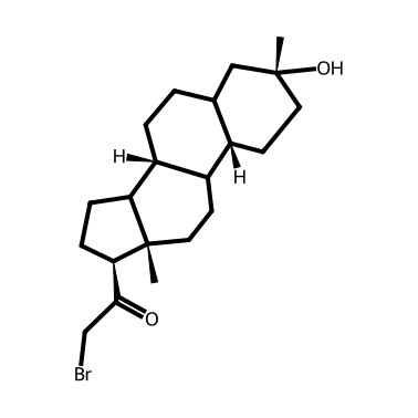 C[C@@]1(O)CC[C@H]2C(CC[C@@H]3C2CC[C@@]2(C)C3CC[C@@H]2C(=O)CBr)C1